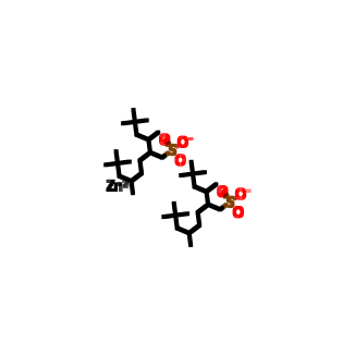 CC(CCC(CS(=O)(=O)[O-])C(C)CC(C)(C)C)CC(C)(C)C.CC(CCC(CS(=O)(=O)[O-])C(C)CC(C)(C)C)CC(C)(C)C.[Zn+2]